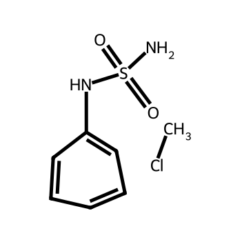 CCl.NS(=O)(=O)Nc1ccccc1